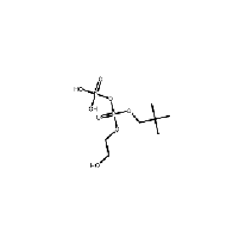 CC(C)(C)COP(=O)(OCCO)OP(=O)(O)O